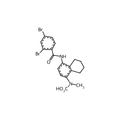 CN(C(=O)O)c1ccc(NC(=O)c2ccc(Br)cc2Br)c2c1CCCC2